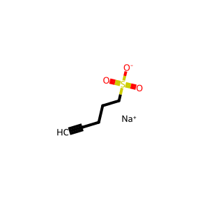 C#CCCCS(=O)(=O)[O-].[Na+]